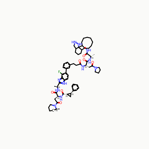 C[C@H](NC(=O)[C@H](CC(=O)N1CCCC1)NC(=O)CCc1cccc(-c2ccc3[nH]c([C@H](C)NC(=O)[C@H](CC(=O)N4CCCC[C@@H]4C)NC(=O)[C@H]4C[C@@H]4c4ccccc4)nc3c2F)c1)C(=O)NCC1CCCC2CNNC21C1CCCCCCCC1